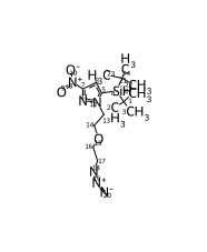 CC(C)(C)[SiH](c1cc([N+](=O)[O-])nn1CCOCCN=[N+]=[N-])C(C)(C)C